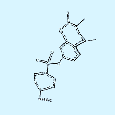 CC(=O)Nc1ccc(S(=O)(=O)Oc2ccc3c(C)c(C)c(=O)oc3c2)cc1